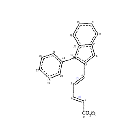 CCOC(=O)/C=C/C=C/c1cc2ccccc2n1-c1cccnc1